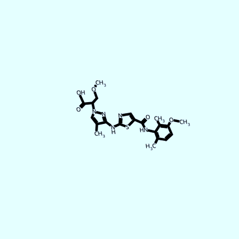 COCC(C(=O)O)n1cc(C)c(Nc2ncc(C(=O)Nc3c(C)ccc(OC)c3C)s2)n1